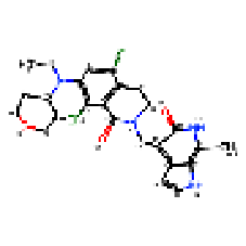 CCN(c1cc(Cl)c2c(c1Cl)C(=O)N(Cc1c(=O)[nH]c(C)c3[nH]ccc13)CC2)C1CCOCC1